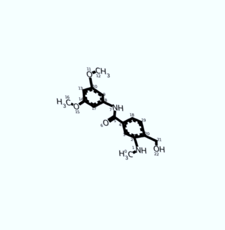 CNc1cc(C(=O)Nc2cc(OC)cc(OC)c2)ccc1CO